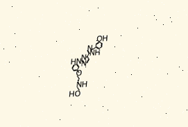 OCCNCCCOc1cccc(Nc2nccc(-c3cnc(-c4cccc(O)c4)[nH]3)n2)c1